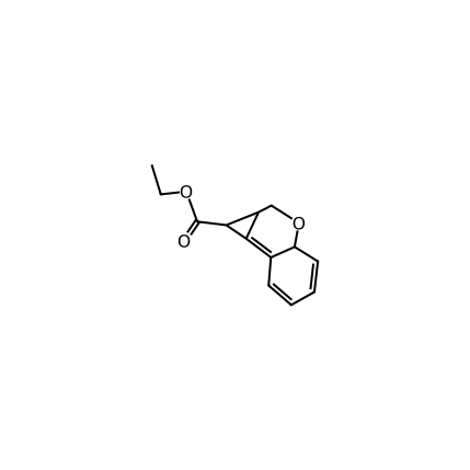 CCOC(=O)C1C2=C3C=CC=CC3OCC21